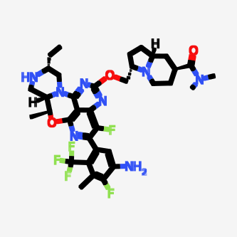 CC[C@@H]1CN2c3nc(OC[C@@H]4CC[C@@H]5C[C@@H](C(=O)N(C)C)CCN54)nc4c(F)c(-c5cc(N)c(F)c(C)c5C(F)(F)F)nc(c34)O[C@@H](C)[C@@H]2CN1